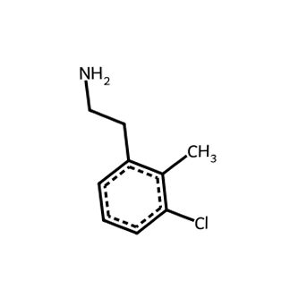 Cc1c(Cl)cccc1CCN